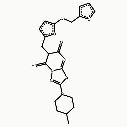 CC1CCN(C2=NN3C(=N)C(Cc4ccc(SCc5ccco5)o4)C(=O)N=C3S2)CC1